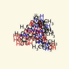 CC(=O)NC1[C@@H](OC(C)[C@H](NC(C)=O)C(=O)NC(C(=O)N2CCC[C@H]2C(=O)NC(C)C(=O)N[C@@H](C)C(=O)NC(C(=O)N[C@H](C(=O)NC(C(=O)N[C@@H](C)C(=O)O)C(C)C)C(C)C)C(C)C)C(C)C)OC(CO)[C@H](O)[C@@H]1O[C@@H]1OC(CO)[C@H](O)C(O)[C@@H]1O